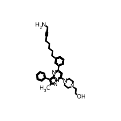 Cc1nn2c(N3CCN(CCO)CC3)cc(-c3cccc(CCCCCC#CCN)c3)nc2c1-c1ccccc1